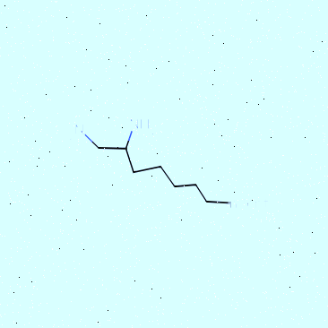 CCCCCCCCCCC(N)CN